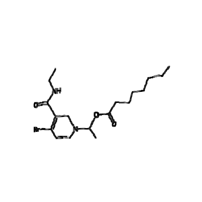 CCCCCCCC(=O)OC(C)N1C=CC(Br)=C(C(=O)NCC)C1